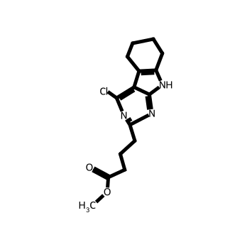 COC(=O)CCCc1nc(Cl)c2c3c([nH]c2n1)CCCC3